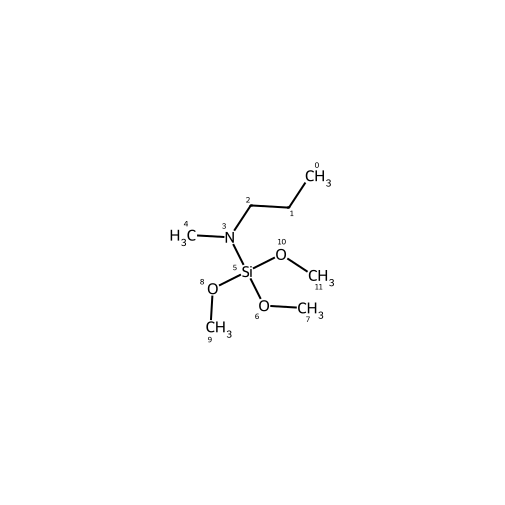 CCCN(C)[Si](OC)(OC)OC